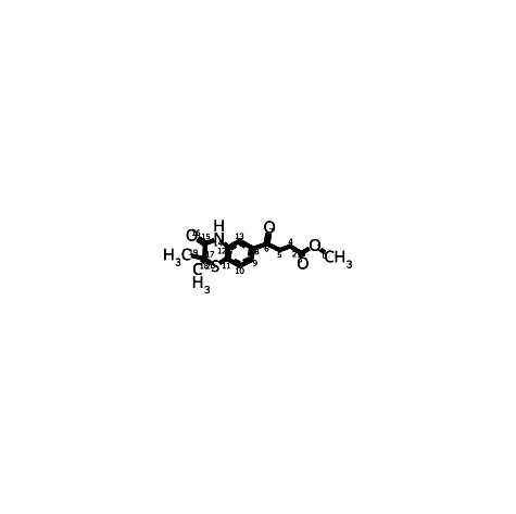 COC(=O)CCC(=O)c1ccc2c(c1)NC(=O)C(C)(C)S2